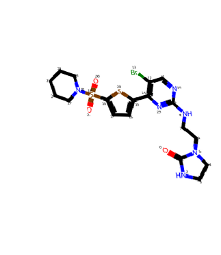 O=C1NCCN1CCNc1ncc(Br)c(-c2ccc(S(=O)(=O)N3CCCCC3)s2)n1